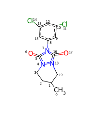 CC1CCn2c(=O)n(-c3cc(Cl)cc(Cl)c3)c(=O)n2C1